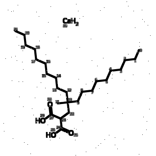 CCCCCCCCCCC(C)(CCCCCCCCCC)CC(C(=O)O)C(=O)O.[CaH2]